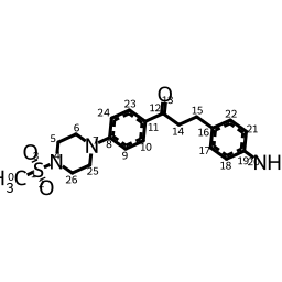 CS(=O)(=O)N1CCN(c2ccc(C(=O)CCc3ccc(N)cc3)cc2)CC1